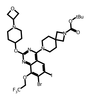 CC(C)(C)OC(=O)N1CC2(CCN(c3nc(OC4CCN(C5COC5)CC4)nc4c(OCC(F)(F)F)c(Br)c(I)cc34)CC2)C1